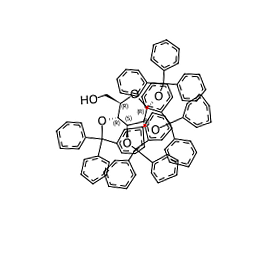 OC[C@H]1O[C@H](OC(c2ccccc2)(c2ccccc2)c2ccccc2)[C@H](OC(c2ccccc2)(c2ccccc2)c2ccccc2)[C@@H](OC(c2ccccc2)(c2ccccc2)c2ccccc2)[C@@H]1OC(c1ccccc1)(c1ccccc1)c1ccccc1